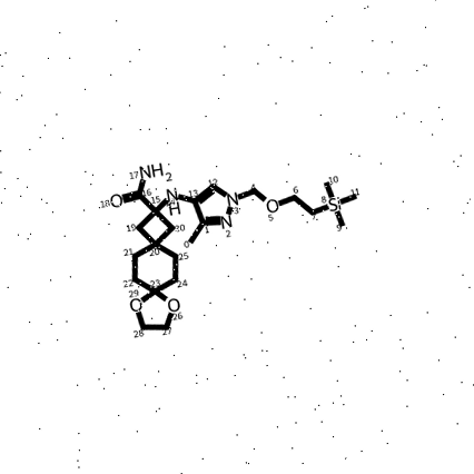 Cc1nn(COCC[Si](C)(C)C)cc1NC1(C(N)=O)CC2(CCC3(CC2)OCCO3)C1